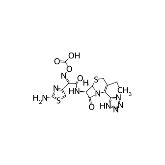 CCC1=C(c2nnn[nH]2)N2C(=O)[C@@H](NC(=O)/C(=N\OC(=O)O)c3csc(N)n3)[C@H]2SC1